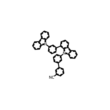 N#Cc1cccc(-c2cccc(-n3c4ccccc4c4cccc(-c5cccc(-n6c7ccccc7c7ccccc76)c5)c43)c2)c1